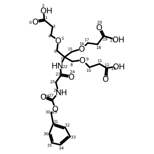 O=C(O)CCOCC(COCCC(=O)O)(COCCC(=O)O)NC(=O)CNC(=O)OCc1ccccc1